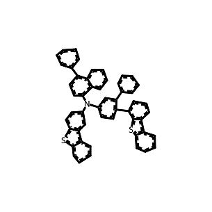 c1ccc(-c2cc(N(c3ccc4sc5ccccc5c4c3)c3ccc(-c4ccccc4)c4ccccc34)ccc2-c2cccc3c2sc2ccccc23)cc1